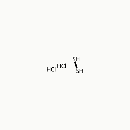 Cl.Cl.SS